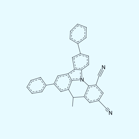 CC1c2cc(C#N)cc(C#N)c2-n2c3ccc(-c4ccccc4)cc3c3cc(-c4ccccc4)cc1c32